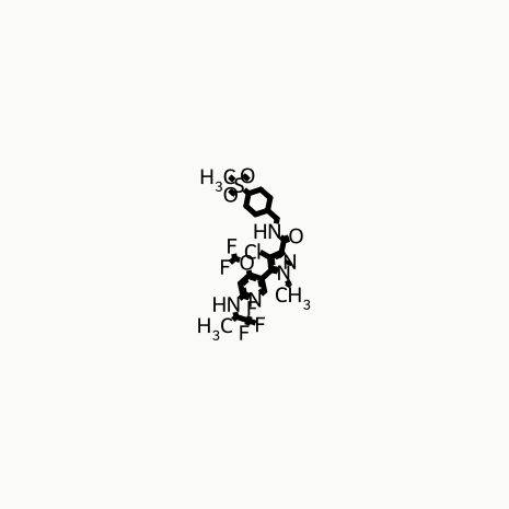 CCn1nc(C(=O)NCC2CCC(S(C)(=O)=O)CC2)c(Cl)c1-c1cnc(NC(C)C(F)(F)F)cc1OC(F)F